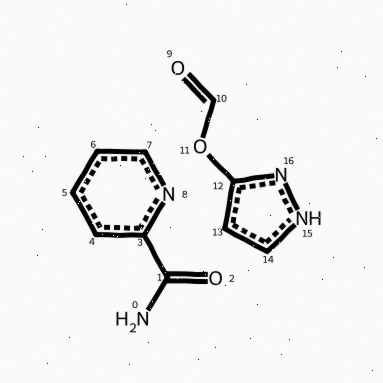 NC(=O)c1ccccn1.O=COc1cc[nH]n1